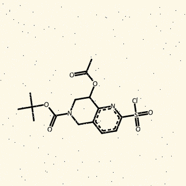 CC(=O)OC1CN(C(=O)OC(C)(C)C)Cc2ccc(S(=O)(=O)Cl)nc21